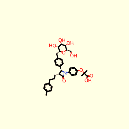 Cc1ccc(CCC[C@H]2C(=O)N(c3ccc(OC(C)(C)C(=O)O)cc3)[C@@H]2c2ccc(C[C@@H]3O[C@H](CO)[C@@H](O)[C@H](O)[C@H]3O)cc2)cc1